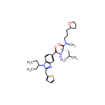 CCC(CC)n1c(Cc2cccs2)nc2cc(C(=O)N[C@@H](CC(C)C)C(=O)N(C)CCCC3CCCO3)ccc21